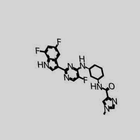 Cn1cnc(C(=O)N[C@@H]2CCC[C@H](Nc3nc(-c4c[nH]c5c(F)cc(F)cc45)ncc3F)C2)c1